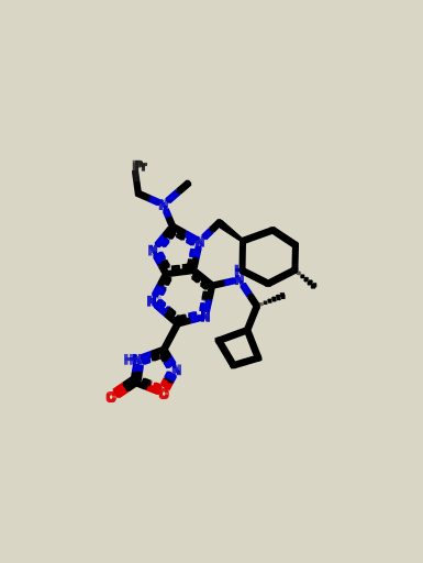 CC(C)CN(C)c1nc2nc(-c3noc(=O)[nH]3)nc(N[C@H](C)C3CCC3)c2n1C[C@H]1CC[C@H](C)CC1